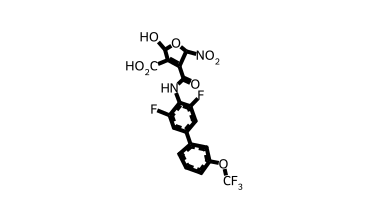 O=C(O)C1=C(C(=O)Nc2c(F)cc(-c3cccc(OC(F)(F)F)c3)cc2F)C([N+](=O)[O-])OC1O